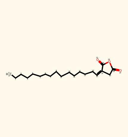 CCCCCCCCCCCCCCCC=C1CC(=O)OC1=O